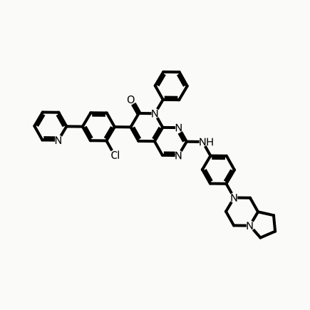 O=c1c(-c2ccc(-c3ccccn3)cc2Cl)cc2cnc(Nc3ccc(N4CCN5CCCC5C4)cc3)nc2n1-c1ccccc1